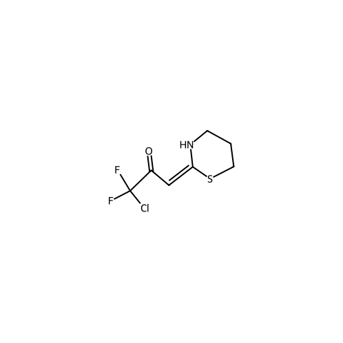 O=C(C=C1NCCCS1)C(F)(F)Cl